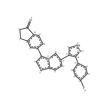 O=C1CCc2cc(-c3cnc4ccc(-c5c[nH]nc5-c5ccc(F)cc5)cn34)ccc21